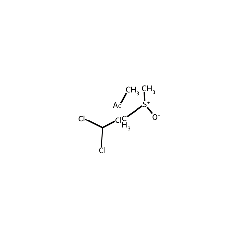 CC(C)=O.C[S+](C)[O-].ClC(Cl)Cl